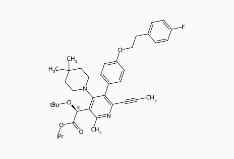 CC#Cc1nc(C)c([C@H](OC(C)(C)C)C(=O)OC(C)C)c(N2CCC(C)(C)CC2)c1-c1ccc(OCCc2ccc(F)cc2)cc1